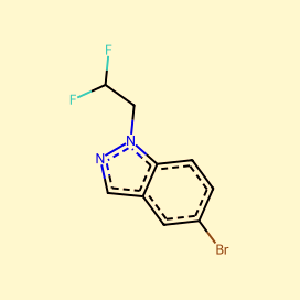 FC(F)Cn1ncc2cc(Br)ccc21